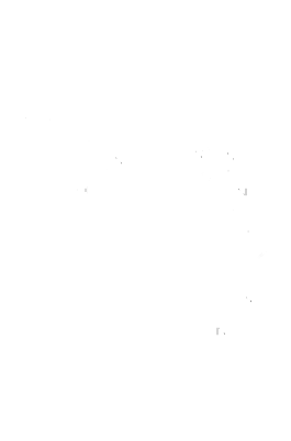 Cc1c(-c2ncnc3[nH]c(-c4ccc(CN5CCNCC5)cc4)cc23)cccc1N1CCc2cc(C3CC3)ccc2C1C=O